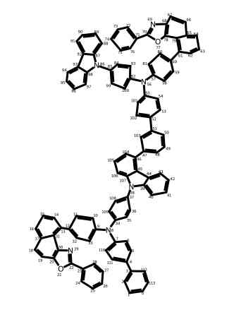 c1ccc(-c2ccc(N(c3ccc(-c4cccc5ccc6oc(-c7ccccc7)nc6c45)cc3)c3ccc(-n4c5ccccc5c5c(-c6cccc(-c7ccc(N(c8ccc(-c9cccc%10ccc%11nc(-c%12ccccc%12)oc%11c9%10)cc8)c8ccc(-n9c%10ccccc%10c%10ccccc%109)cc8)cc7)c6)cccc54)cc3)cc2)cc1